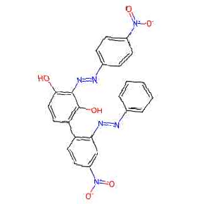 O=[N+]([O-])c1ccc(N=Nc2c(O)ccc(-c3ccc([N+](=O)[O-])cc3N=Nc3ccccc3)c2O)cc1